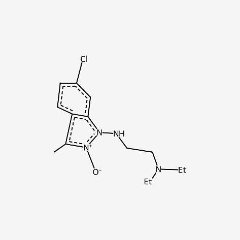 CCN(CC)CCNn1c2cc(Cl)ccc2c(C)[n+]1[O-]